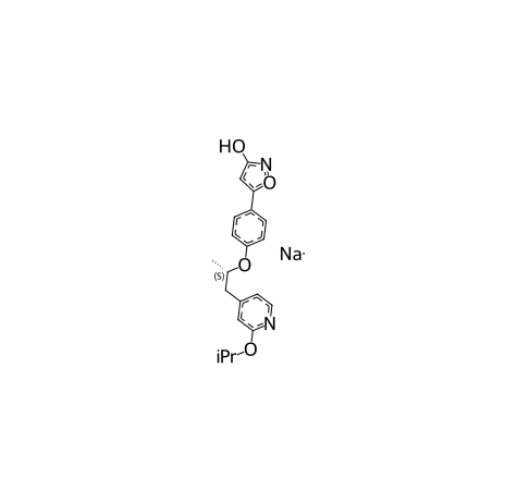 CC(C)Oc1cc(C[C@H](C)Oc2ccc(-c3cc(O)no3)cc2)ccn1.[Na]